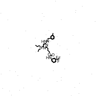 CCCN(CCC)c1cc(N/N=C/c2cccc(C)c2)nc(CCCOC(=O)Nc2cccc(C(F)(F)F)c2)n1